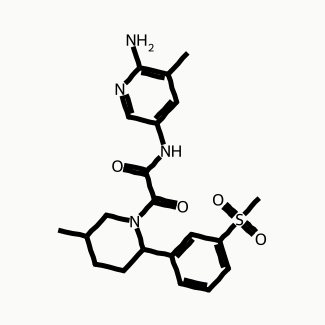 Cc1cc(NC(=O)C(=O)N2CC(C)CCC2c2cccc(S(C)(=O)=O)c2)cnc1N